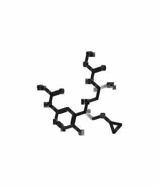 CC(C)(C)OC(=O)N[C@@H](CN[C@H](COC1CC1)c1cc(NC(=O)C(C)(C)C)nnc1Cl)C(F)(F)F